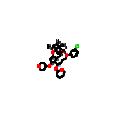 CC(C)(C)[Si](C)(C)O[C@@H]1C[C@H](OC2CCOCC2)[C@H](/C(=C\CCOc2cccc(Cl)c2)OC2CCCCO2)[C@@H]1CC=O